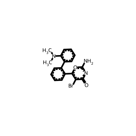 CN(C)c1ccccc1-c1ccccc1-c1oc(N)nc(=O)c1Br